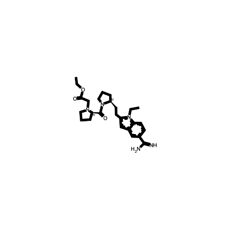 CCOC(=O)CN1CCC[C@@H]1C(=O)N1CCC[C@H]1CCc1cc2cc(C(=N)N)ccc2n1CC